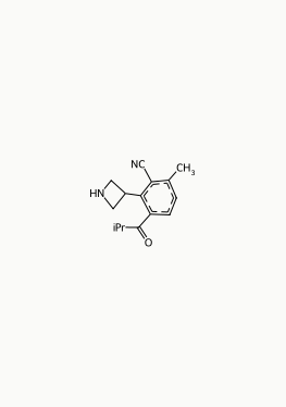 Cc1ccc(C(=O)C(C)C)c(C2CNC2)c1C#N